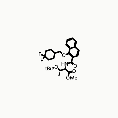 COC(=O)[C@@H](NC(=O)c1ccc2ccccc2c1OCC1CCC(F)(F)CC1)[C@@H](C)OC(C)(C)C